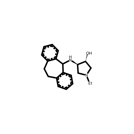 CCN1C[C@@H](O)[C@H](NC2c3ccccc3CCc3ccccc32)C1